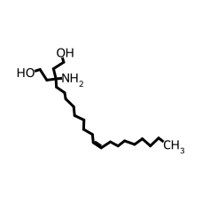 CCCCCCCC/C=C\CCCCCCCCC(N)(CCO)CCO